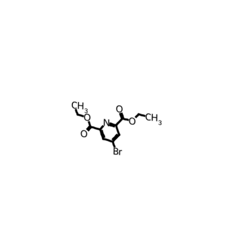 CCOC(=O)c1cc(Br)cc(C(=O)OCC)n1